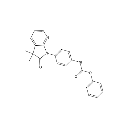 CC1(C)C(=O)N(c2ccc(NC(=O)Oc3ccccc3)cc2)c2ncccc21